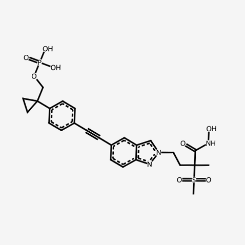 CC(CCn1cc2cc(C#Cc3ccc(C4(COP(=O)(O)O)CC4)cc3)ccc2n1)(C(=O)NO)S(C)(=O)=O